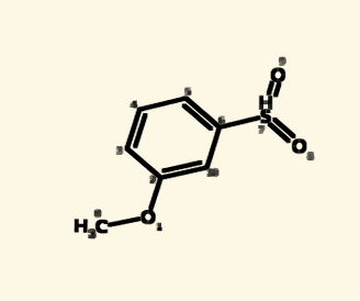 COc1cccc([SH](=O)=O)c1